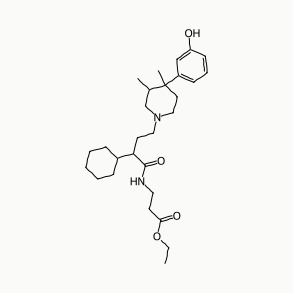 CCOC(=O)CCNC(=O)C(CCN1CCC(C)(c2cccc(O)c2)C(C)C1)C1CCCCC1